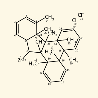 CC1=CC=CC2[CH]([Zr+2])C3(C)C4(C)C=CC=CC4(C)C4(C)C=CC=CC4(C)C3(C)C12C.[Cl-].[Cl-]